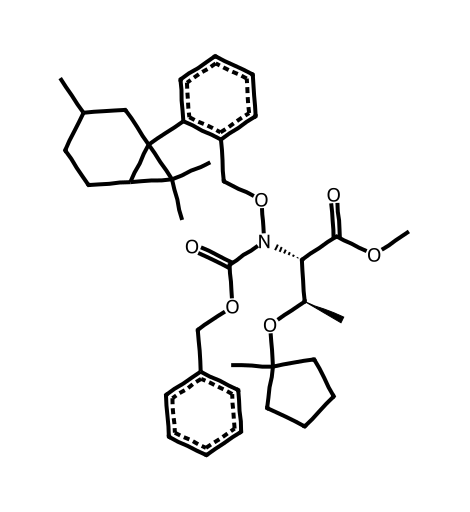 COC(=O)[C@H]([C@@H](C)OC1(C)CCCC1)N(OCc1ccccc1C12CC(C)CCC1C2(C)C)C(=O)OCc1ccccc1